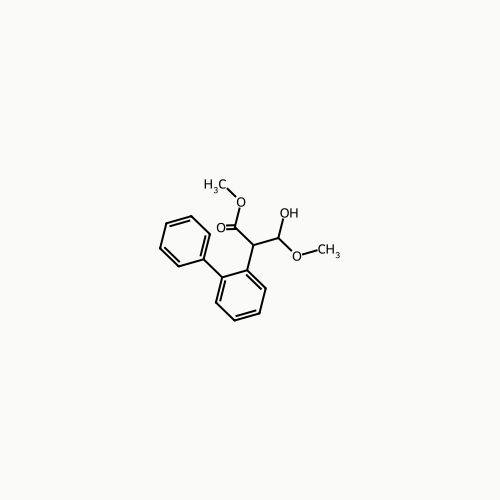 COC(=O)C(c1ccccc1-c1ccccc1)C(O)OC